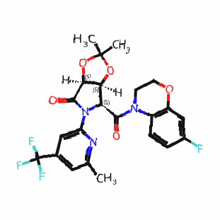 Cc1cc(C(F)(F)F)cc(N2C(=O)[C@H]3OC(C)(C)O[C@H]3[C@H]2C(=O)N2CCOc3cc(F)ccc32)n1